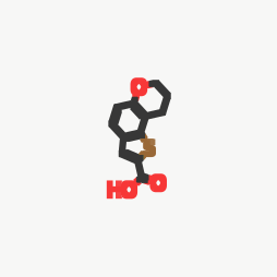 O=C(O)c1cc2ccc3c(c2s1)CCCO3